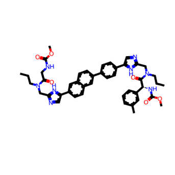 CCCN(Cc1ncc(-c2ccc3cc(-c4ccc(-c5cnc(CN(CCC)C(=O)[C@H](NC(=O)OC)c6cccc(C)c6)[nH]5)cc4)ccc3c2)[nH]1)C(=O)CNC(=O)OC